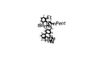 CCCCCc1cn(-c2c(CC)cccc2C(C)(C)C)c(=O)n1Cc1ccc(-c2ccccc2-c2nnn[nH]2)cc1